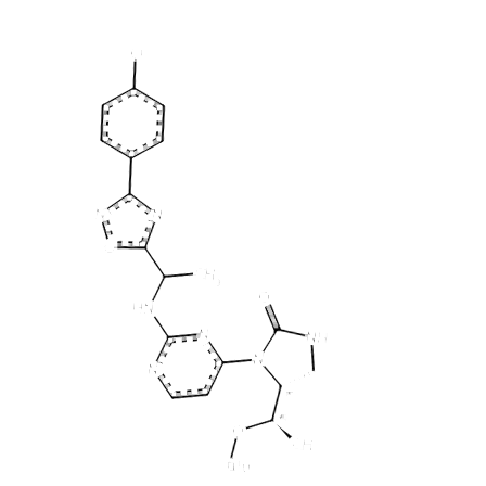 CC(Nc1nccc(N2C(=O)NC[C@@H]2[C@@H](C)OC(C)(C)C)n1)c1nc(-c2ccc(Cl)cc2)no1